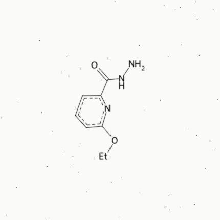 CCOc1cccc(C(=O)NN)n1